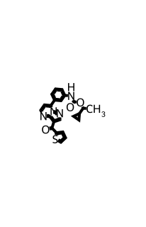 CC(OC(=O)Nc1cccc(-c2ccnc3c(C(=O)c4cccs4)cnn23)c1)C1CC1